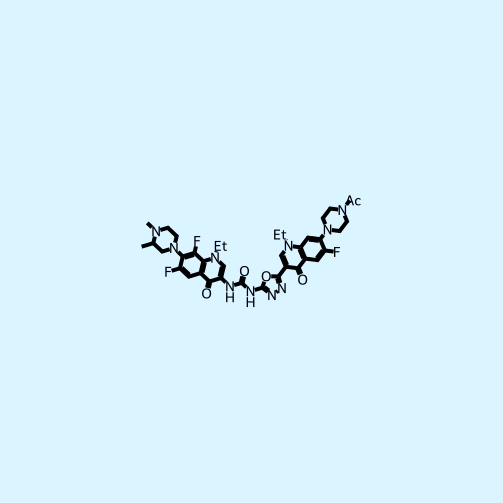 CCn1cc(-c2nnc(NC(=O)Nc3cn(CC)c4c(F)c(N5CCN(C)C(C)C5)c(F)cc4c3=O)o2)c(=O)c2cc(F)c(N3CCN(C(C)=O)CC3)cc21